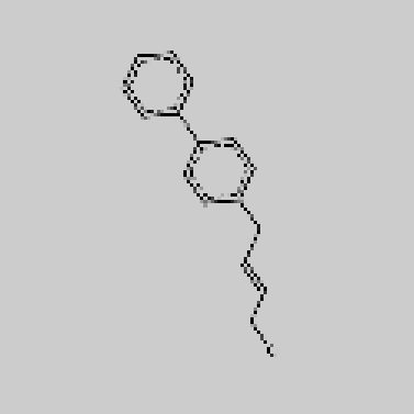 CCC=CCc1ccc(-c2ccccc2)cc1